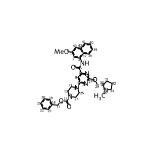 COc1cc(NC(=O)c2cc(N3CCN(C(=O)OCc4ccccc4)CC3)nc(OC[C@@H]3CCCN3C)n2)c2ccccc2c1